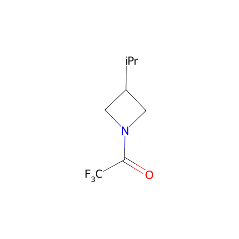 CC(C)C1CN(C(=O)C(F)(F)F)C1